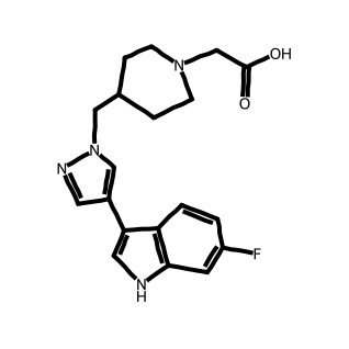 O=C(O)CN1CCC(Cn2cc(-c3c[nH]c4cc(F)ccc34)cn2)CC1